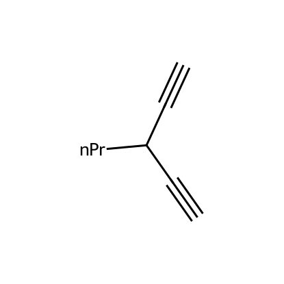 C#CC(C#C)CCC